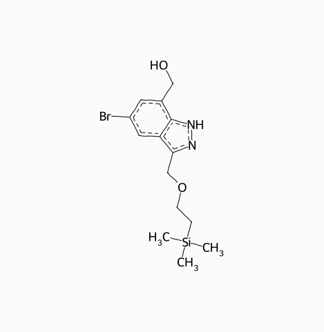 C[Si](C)(C)CCOCc1n[nH]c2c(CO)cc(Br)cc12